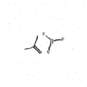 C=C(C)C.FB(F)F